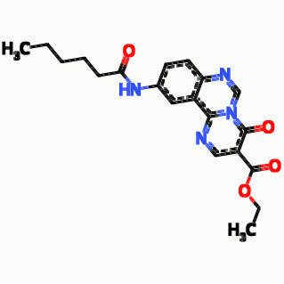 CCCCCC(=O)Nc1ccc2ncn3c(=O)c(C(=O)OCC)cnc3c2c1